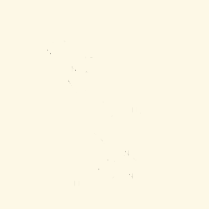 COc1ccc(N(C[C@@H]2COc3c(cc(C)c4oc(-c5cc(C)cc6nc(OC)cnc56)cc34)O2)C(=O)O)cn1